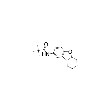 CC(C)(C)C(=O)Nc1ccc2c(c1)C1CCCCC1O2